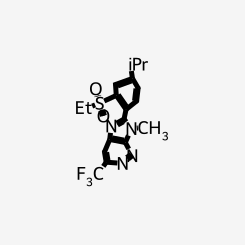 CCS(=O)(=O)c1cc(C(C)C)ccc1-c1nc2cc(C(F)(F)F)nnc2n1C